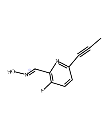 CC#Cc1ccc(F)c(/C=N/O)n1